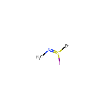 CCS(I)=NC